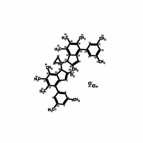 CC1=Cc2c(-c3cc(C)cc(C)c3)c(C)c(C)c(C)c2[CH]1[Zr+2]1([CH]2C(C)=Cc3c(-c4cc(C)cc(C)c4)c(C)c(C)c(C)c32)[CH2][CH2]1.[Cl-].[Cl-]